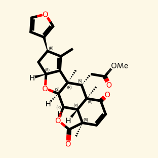 COC(=O)C[C@H]1[C@]2(C)C3=C(C)[C@H](c4ccoc4)C[C@H]3O[C@@H]2[C@@H]2OC(=O)[C@]3(C)C=CC(=O)[C@@]1(C)[C@@H]23